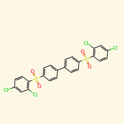 O=S(=O)(c1ccc(-c2ccc(S(=O)(=O)c3ccc(Cl)cc3Cl)cc2)cc1)c1ccc(Cl)cc1Cl